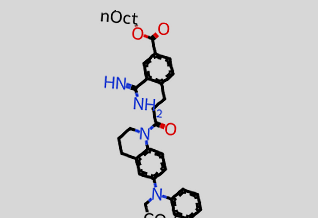 CCCCCCCCOC(=O)c1ccc(CCC(=O)N2CCCc3cc(N(CC(=O)OCC)c4ccccc4)ccc32)c(C(=N)N)c1